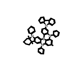 Cc1cc2c3c(c1)N(c1ccccc1)c1cc4c(cc1B3c1ccc(-n3c5ccccc5c5ccccc53)cc1N2c1ccccc1)N(c1ccccc1)C1(C)CCCCC41C